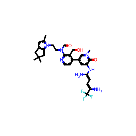 Cc1cc2c(n1CCN(C=O)c1nccc(-c3cc(N/C(N)=C/C=C(\N)C(F)(F)F)c(=O)n(C)c3)c1CO)CC(C)(C)C2